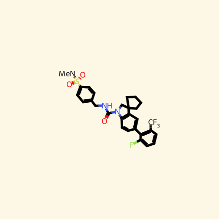 CNS(=O)(=O)c1ccc(CNC(=O)N2CC3(CCCC3)c3cc(-c4c(F)cccc4C(F)(F)F)ccc32)cc1